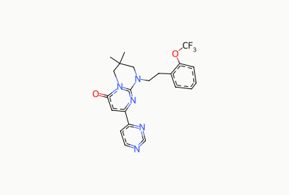 CC1(C)CN(CCc2ccccc2OC(F)(F)F)c2nc(-c3ccncn3)cc(=O)n2C1